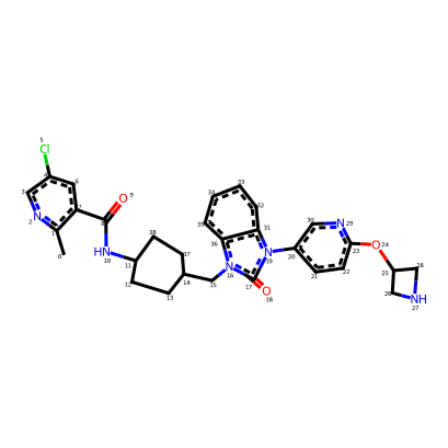 Cc1ncc(Cl)cc1C(=O)NC1CCC(Cn2c(=O)n(-c3ccc(OC4CNC4)nc3)c3ccccc32)CC1